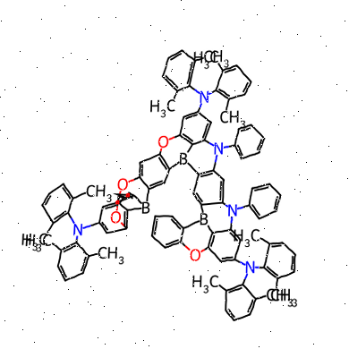 Cc1cccc(C)c1N(c1cc2c3c(c1)Oc1cc4c(cc1B3c1ccccc1O2)B1c2cc3c(cc2N(c2ccccc2)c2cc(N(c5c(C)cccc5C)c5c(C)cccc5C)cc(c21)O4)N(c1ccccc1)c1cc(N(c2c(C)cccc2C)c2c(C)cccc2C)cc2c1B3c1ccccc1O2)c1c(C)cccc1C